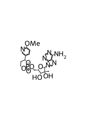 COc1ccc(C2CCOP(=O)(OC[C@H]3O[C@@H](n4cnc5c(N)ncnc54)[C@](C)(O)[C@@H]3O)O2)cn1